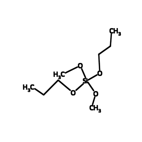 CCCO[Si](OC)(OC)OCCC